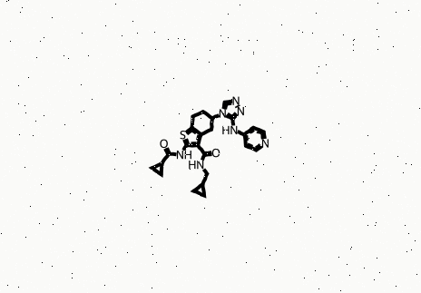 O=C(NCC1CC1)c1c(NC(=O)C2CC2)sc2c1CC(n1cnnc1Nc1ccncc1)CC2